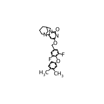 Cc1ccc(Oc2c(F)cc(COc3cc4n(c(=O)n3)CC3CCCN4C3)cc2F)cc1C